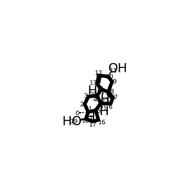 C[C@]12CC[C@H]3[C@@H](CC=C4C[C@@H](O)C=C[C@@H]43)[C@@H]1CC[C@H]2O